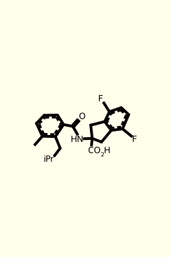 Cc1cccc(C(=O)NC2(C(=O)O)Cc3c(F)ccc(F)c3C2)c1CC(C)C